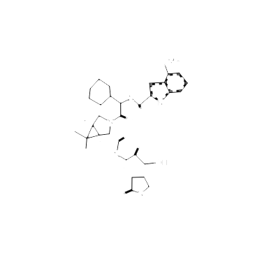 COc1cccc2[nH]c(C(=O)NC(C(=O)N3C[C@H]4[C@@H]([C@H]3C(=O)N[C@@H](C[C@@H]3CCNC3=O)C(=O)CO)C4(C)C)C3CCCCC3)cc12